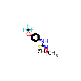 CO/N=C(/Nc1ccc(OC(F)(F)F)cc1)SC